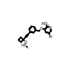 O=[N+]([O-])c1ncc(Br)cc1OCc1cccc(C#CC2(OPI)CCC2)c1